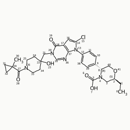 CC[C@H]1CN(C(=O)O)[C@H](c2ccc(-n3c(Cl)cc4c(=O)n(CC5(O)CCN(C(=O)C6(C)CC6)CC5)cnc43)cc2)CO1